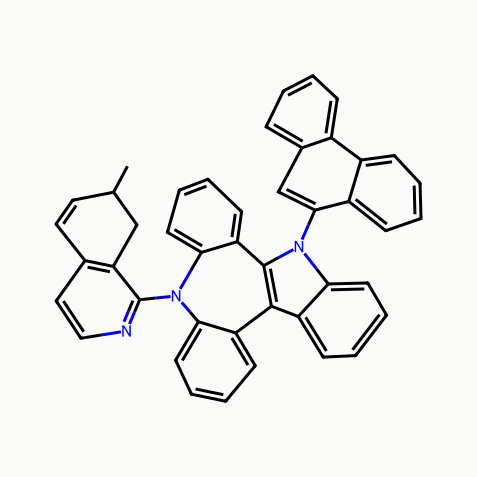 CC1C=Cc2ccnc(N3c4ccccc4-c4c(n(-c5cc6ccccc6c6ccccc56)c5ccccc45)-c4ccccc43)c2C1